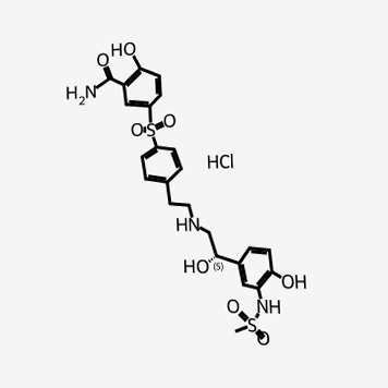 CS(=O)(=O)Nc1cc([C@H](O)CNCCc2ccc(S(=O)(=O)c3ccc(O)c(C(N)=O)c3)cc2)ccc1O.Cl